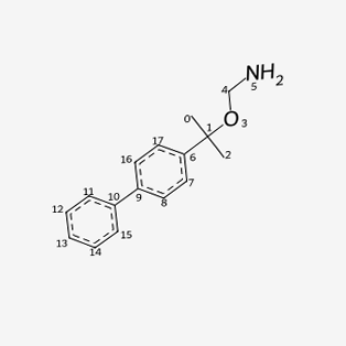 CC(C)(OCN)c1ccc(-c2ccccc2)cc1